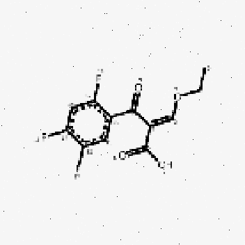 CCO/C=C(/C(=O)O)C(=O)c1cc(F)c(F)cc1F